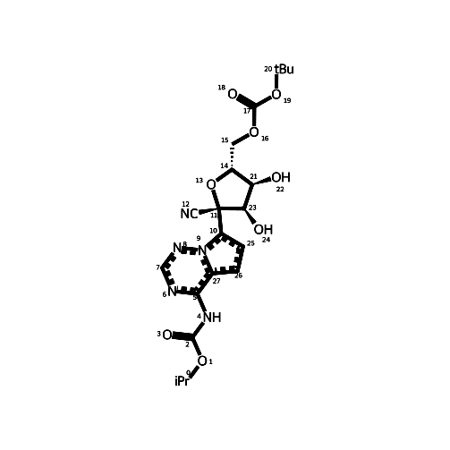 CC(C)OC(=O)Nc1ncnn2c([C@]3(C#N)O[C@H](COC(=O)OC(C)(C)C)[C@@H](O)[C@H]3O)ccc12